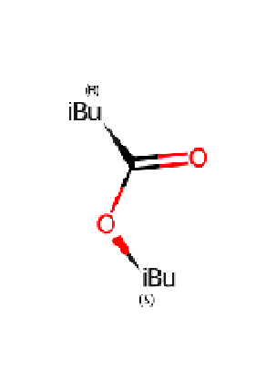 C[CH][C@H](C)OC(=O)[C@H](C)CC